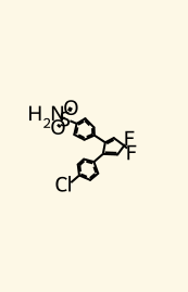 NS(=O)(=O)c1ccc(C2=CC(F)(F)C=C2c2ccc(Cl)cc2)cc1